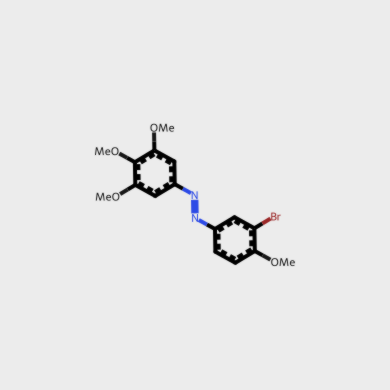 COc1ccc(/N=N/c2cc(OC)c(OC)c(OC)c2)cc1Br